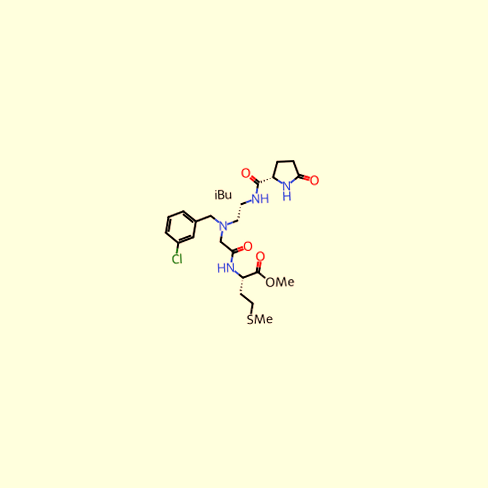 CC[C@H](C)[C@@H](CN(CC(=O)N[C@@H](CCSC)C(=O)OC)Cc1cccc(Cl)c1)NC(=O)[C@@H]1CCC(=O)N1